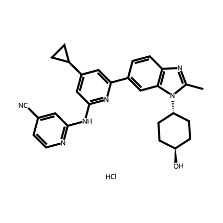 Cc1nc2ccc(-c3cc(C4CC4)cc(Nc4cc(C#N)ccn4)n3)cc2n1[C@H]1CC[C@H](O)CC1.Cl